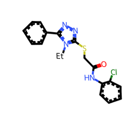 CCn1c(SCC(=O)Nc2ccccc2Cl)nnc1-c1ccccc1